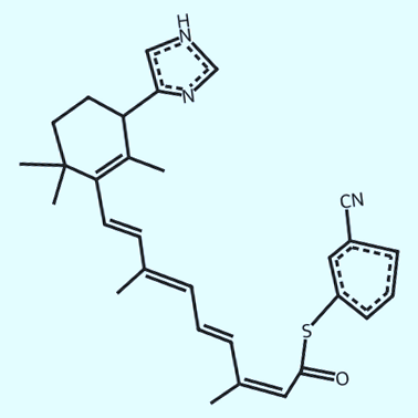 CC1=C(/C=C/C(C)=C/C=C/C(C)=C\C(=O)Sc2cccc(C#N)c2)C(C)(C)CCC1c1c[nH]cn1